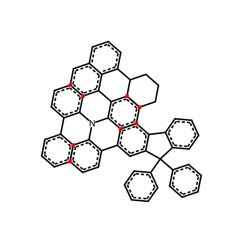 c1ccc(-c2ccccc2N(c2ccccc2-c2ccc3c(c2)C(c2ccccc2)(c2ccccc2)c2ccccc2-3)c2ccccc2-c2cccc3cccc(C4CCCCC4)c23)cc1